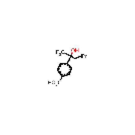 CC(C)CC(O)(c1ccc(C(=O)O)cc1)C(F)(F)F